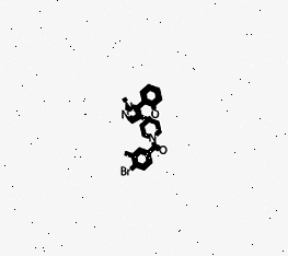 Cc1cc(C(=O)N2CCC3(CC2)Oc2ccccc2-c2c3cnn2C)ccc1Br